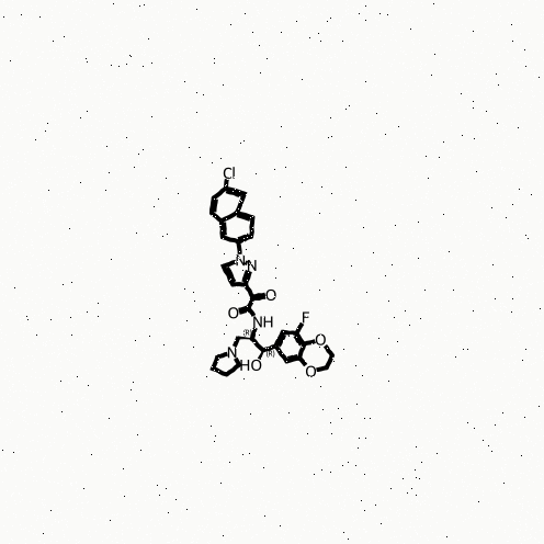 O=C(N[C@H](CN1CCCC1)[C@H](O)c1cc(F)c2c(c1)OCCO2)C(=O)c1ccn(-c2ccc3cc(Cl)ccc3c2)n1